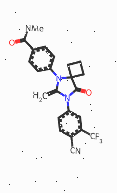 C=C1N(c2ccc(C#N)c(C(F)(F)F)c2)C(=O)C2(CCC2)N1c1ccc(C(=O)NC)cc1